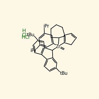 Cl.Cl.[CH2]=[Zr]([C]1=CC=CC1)([c]1cc(C(C)C)cc(C(C)C)c1)([CH]1CCCCC1)[CH]1c2cc(C(C)(C)C)ccc2-c2ccc(C(C)(C)C)cc21